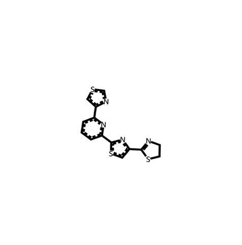 c1cc(-c2cscn2)nc(-c2nc(C3=NCCS3)cs2)c1